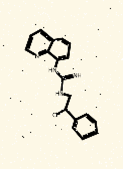 N=C(NCC(Cl)c1ccccc1)Nc1cccc2cccnc12